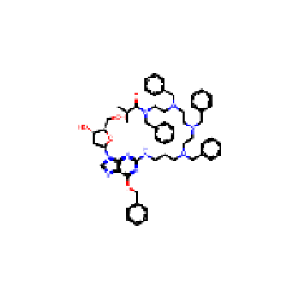 CC(C)C(=O)N(CCN(CCN(CCN(CCCNc1nc(OCc2ccccc2)c2ncn([C@H]3C[C@H](O)[C@@H](CO)O3)c2n1)Cc1ccccc1)Cc1ccccc1)Cc1ccccc1)Cc1ccccc1